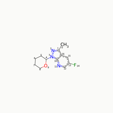 Cc1nn(C2CCCCO2)c2ncc(F)cc12